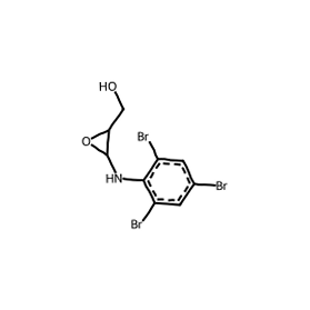 OCC1OC1Nc1c(Br)cc(Br)cc1Br